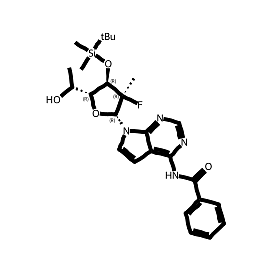 CC(O)[C@H]1O[C@@H](n2ccc3c(NC(=O)c4ccccc4)ncnc32)[C@](C)(F)[C@@H]1O[Si](C)(C)C(C)(C)C